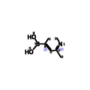 C/N=C(C)\C=C(/C)B(O)O